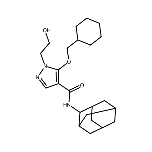 O=C(NC1C2CC3CC(C2)CC1C3)c1cnn(CCO)c1OCC1CCCCC1